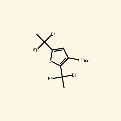 CCCCCCc1cc(C(C)(CC)CC)sc1C(C)(CC)CC